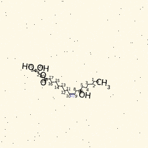 CCCCCC[C@@H](O)C/C=C\CCCCCCCC(=O)OCC(O)CO